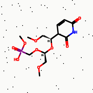 COC[C@@H](OCP(=O)(O)OC)O[C@H](COC)C1C=CC(=O)NC1=O